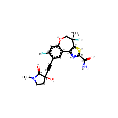 CN1CC[C@@](O)(C#Cc2cc3c(cc2F)OC[C@](C)(F)c2sc(C(N)=O)nc2-3)C1=O